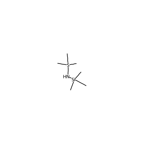 C[Si](C)(C)NS(C)(C)C